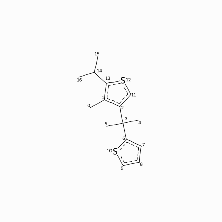 Cc1c(C(C)(C)c2cccs2)csc1C(C)C